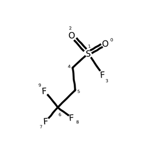 O=S(=O)(F)CCC(F)(F)F